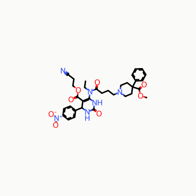 CCN(C(=O)CCCN1CCC(C(=O)OC)(c2ccccc2)CC1)C1=C(C(=O)OCCC#N)C(c2ccc([N+](=O)[O-])cc2)NC(=O)N1